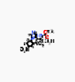 CC(C)(C)OC(=O)N[C@@H](Cc1cncn1-c1ccc([N+](=O)[O-])cc1[N+](=O)[O-])C(=O)O